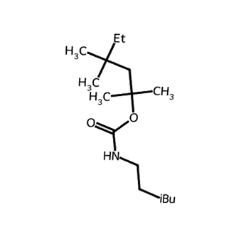 CCC(C)CCNC(=O)OC(C)(C)CC(C)(C)CC